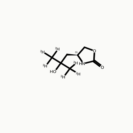 [2H]C([2H])([2H])C(O)(C[C@H]1COC(=O)N1)C([2H])([2H])[2H]